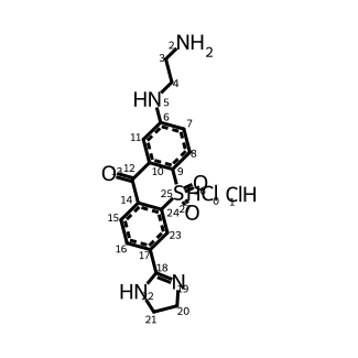 Cl.Cl.NCCNc1ccc2c(c1)C(=O)c1ccc(C3=NCCN3)cc1S2(=O)=O